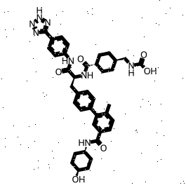 Cc1ccc(C(=O)N[C@H]2CC[C@H](O)CC2)cc1-c1ccc(C[C@H](NC(=O)[C@H]2CC[C@H](CNC(=O)O)CC2)C(=O)Nc2ccc(-c3nn[nH]n3)cc2)cc1